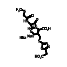 O=C(O)Cc1nnc(SCC2=C(C(=O)O)N3C(=O)C(NC(=O)CSC(F)(F)F)[C@H]3SC2)o1.[NaH].[NaH]